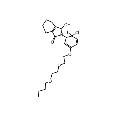 CCCCOCCOCCOC1=CC(N2C(=O)C3=C(CCCC3)C2O)C(F)(Cl)C=C1